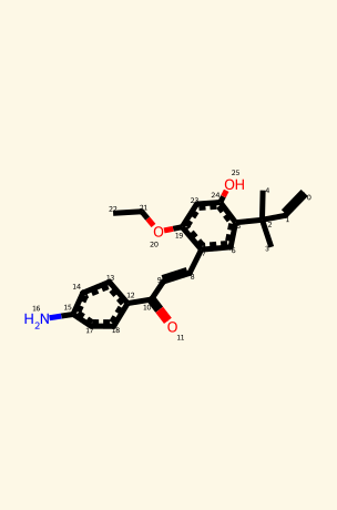 C=CC(C)(C)c1cc(C=CC(=O)c2ccc(N)cc2)c(OCC)cc1O